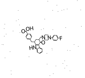 O=C(O)c1ccc(CC2CC(CN3CCN(c4ccc(F)cc4)CC3)C(=O)c3c2[nH]c2ccccc32)cc1